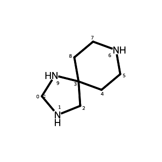 [C]1NCC2(CCNCC2)N1